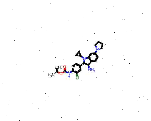 C[C@@H](OC(=O)Nc1ccc(C2C(N)c3ccc(N4CCCC4)cc3N2C2CC2)cc1Cl)C(F)(F)F